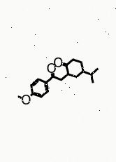 COc1ccc(C(=O)CC2CC(C(C)C)CCC2=O)cc1